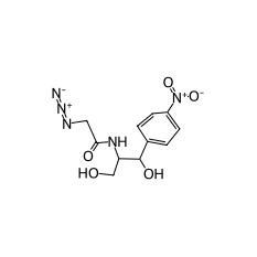 [N-]=[N+]=NCC(=O)NC(CO)C(O)c1ccc([N+](=O)[O-])cc1